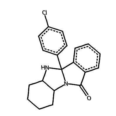 O=C1c2ccccc2C2(c3ccc(Cl)cc3)NC3CCCCC3N12